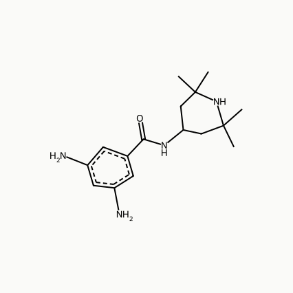 CC1(C)CC(NC(=O)c2cc(N)cc(N)c2)CC(C)(C)N1